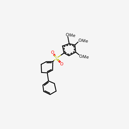 COc1cc(S(=O)(=O)C2=CCCC(C3=CC=CCC3)=C2)cc(OC)c1OC